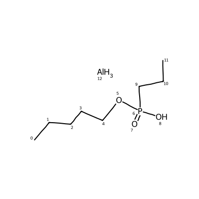 CCCCCOP(=O)(O)CCC.[AlH3]